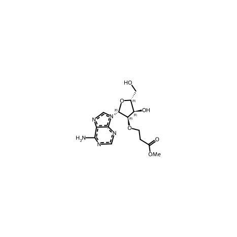 COC(=O)CCO[C@@H]1[C@H](O)[C@@H](CO)O[C@H]1n1cnc2c(N)ncnc21